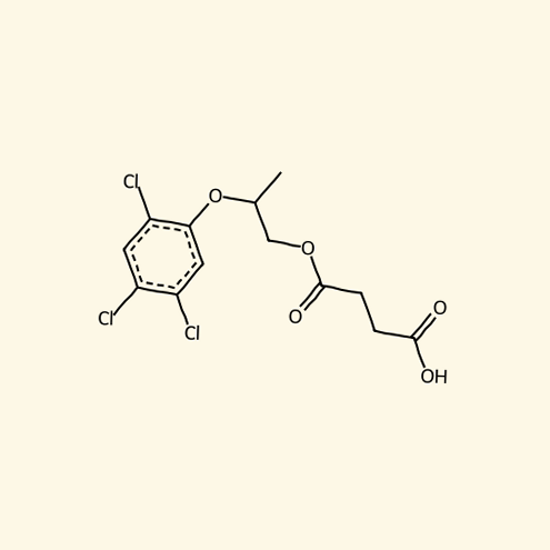 CC(COC(=O)CCC(=O)O)Oc1cc(Cl)c(Cl)cc1Cl